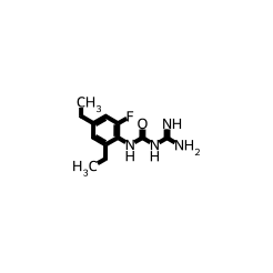 CCc1cc(F)c(NC(=O)NC(=N)N)c(CC)c1